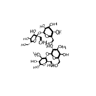 OC[C@H]1O[C@@H](O[C@H]2[C@H](O)[C@@H](O)[C@H](O)O[C@@H]2CO)[C@H](O)[C@@H](O)[C@H]1O.OC[C@H]1O[C@@](CO)(O[C@H]2O[C@H](CO)[C@@H](O)[C@H](O)[C@H]2O)[C@@H](O)[C@@H]1O